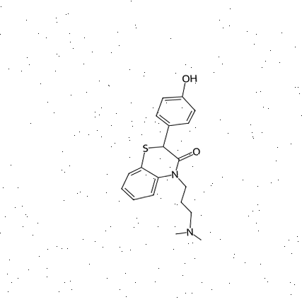 CN(C)CCCN1C(=O)C(c2ccc(O)cc2)Sc2ccccc21